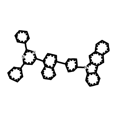 c1ccc(-c2cc(-c3ccc(-c4ccc(-n5c6ccccc6c6cc7ccccc7cc65)cc4)c4ccccc34)nc(-c3ccccc3)n2)cc1